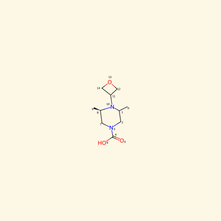 CC1CN(C(=O)O)C[C@@H](C)N1C1COC1